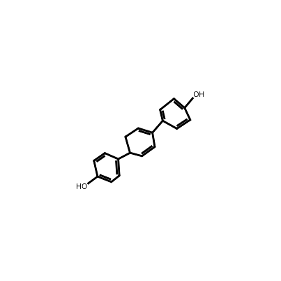 Oc1ccc(C2=CCC(c3ccc(O)cc3)C=C2)cc1